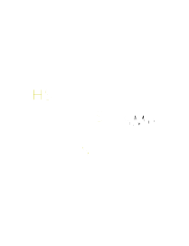 CSS(=S)CS